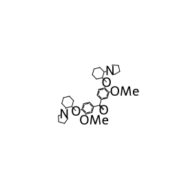 COc1cc(C(=O)c2ccc(OC3CCCCC3N3CCCC3)c(OC)c2)ccc1OC1CCCCC1N1CCCC1